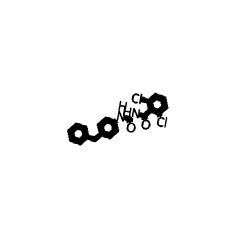 O=C(NC(=O)c1c(Cl)cccc1Cl)Nc1ccc(Cc2ccccc2)cc1